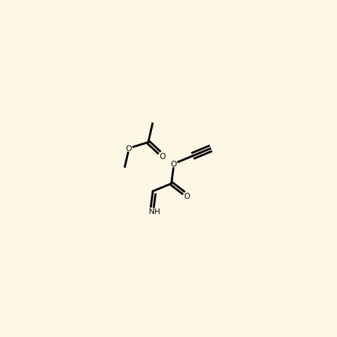 C#COC(=O)C=N.COC(C)=O